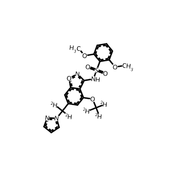 [2H]C([2H])([2H])Oc1cc(C([2H])([2H])n2cccn2)cc2onc(NS(=O)(=O)c3c(OC)cccc3OC)c12